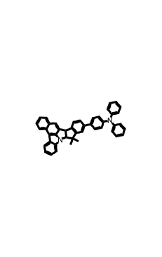 CC1(C)c2cc(-c3ccc(N(c4ccccc4)c4ccccc4)cc3)ccc2C2c3cc4ccccc4c4c5ccccc5n(c34)C21